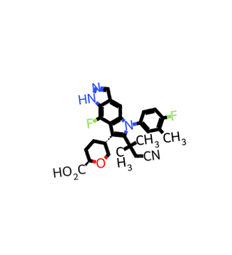 Cc1cc(-n2c(C(C)(C)CC#N)c([C@H]3CC[C@H](C(=O)O)OC3)c3c(F)c4[nH]ncc4cc32)ccc1F